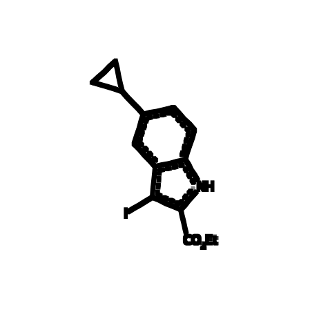 CCOC(=O)c1[nH]c2ccc(C3CC3)cc2c1I